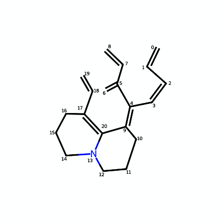 C=C/C=C\C(C(=C)C=C)=C1/CCCN2CCCC(C=C)=C12